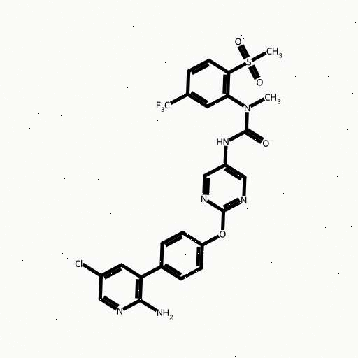 CN(C(=O)Nc1cnc(Oc2ccc(-c3cc(Cl)cnc3N)cc2)nc1)c1cc(C(F)(F)F)ccc1S(C)(=O)=O